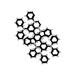 c1ccc(N2CCB3c4c(cc(N(c5ccccc5)c5ccccc5)cc42)-c2c4c5ccccc5n5c4c(c4c6ccccc6n3c24)-c2cc(N(c3ccccc3)c3ccccc3)cc3c2B5c2ccccc2N3c2ccccc2)cc1